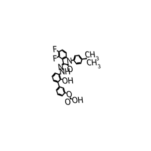 CC(C)c1ccc(N2C(=O)C(=NNc3cccc(-c4cccc(OC(=O)O)c4)c3O)c3c2ccc(F)c3F)cc1